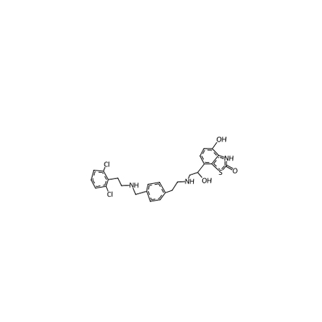 O=c1[nH]c2c(O)ccc(C(O)CNCCc3ccc(CNCCc4c(Cl)cccc4Cl)cc3)c2s1